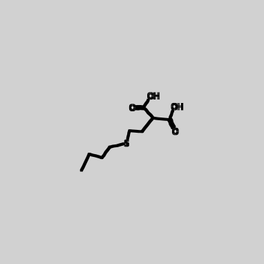 CCCCSCCC(C(=O)O)C(=O)O